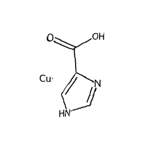 O=C(O)c1c[nH]cn1.[Cu]